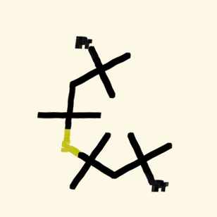 CC(C)C(C)(C)CC(C)(C)SC(C)(C)CC(C)(C)C(C)C